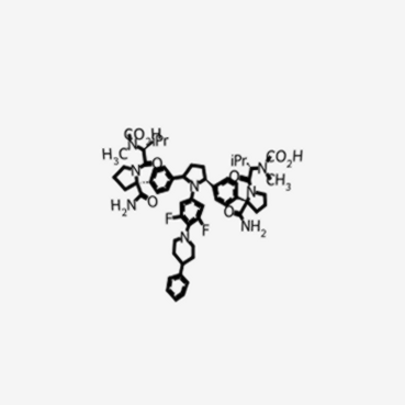 CC(C)[C@@H](C(=O)N1CCC[C@@]1(C(N)=O)c1ccc(C2CC[C@@H](c3ccc([C@]4(C(N)=O)CCCN4C(=O)[C@H](C(C)C)N(C)C(=O)O)cc3)N2c2cc(F)c(N3CCC(c4ccccc4)CC3)c(F)c2)cc1)N(C)C(=O)O